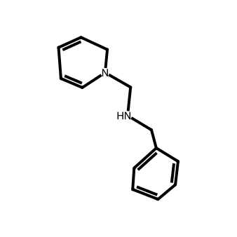 C1=CCN(CNCc2ccccc2)C=C1